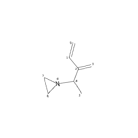 C=CC(=C)C(C)N1CC1